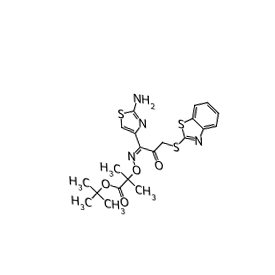 CC(C)(C)OC(=O)C(C)(C)O/N=C(\C(=O)CSc1nc2ccccc2s1)c1csc(N)n1